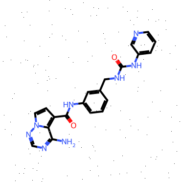 Nc1ncnn2ccc(C(=O)Nc3cccc(CNC(=O)Nc4cccnc4)c3)c12